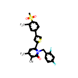 CS(=O)(=O)c1ccc(-c2csc(-c3cc(C(F)(F)F)c(C#N)c(=O)n3Cc3ccc(F)cc3F)c2)cc1C(F)(F)F